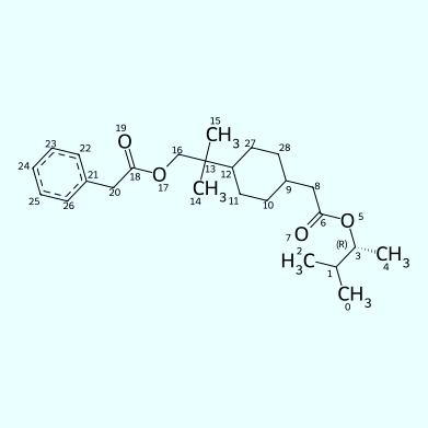 CC(C)[C@@H](C)OC(=O)CC1CCC(C(C)(C)COC(=O)Cc2ccccc2)CC1